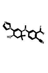 CN(c1ccc(C#N)c(C(F)F)c1)[C@@H]1C=C(n2ccnc2)[C@H](O)CC1(C)C